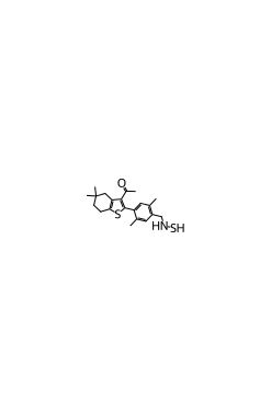 CC(=O)c1c(-c2cc(C)c(CNS)cc2C)sc2c1CC(C)(C)CC2